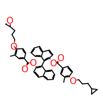 Cc1cc(C(=O)Oc2ccc3ccccc3c2-c2c(OC(=O)c3ccc(OCCCC4CO4)c(C)c3)ccc3ccccc23)ccc1OCCCC1CC1